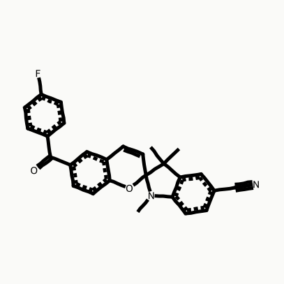 CN1c2ccc(C#N)cc2C(C)(C)C12C=Cc1cc(C(=O)c3ccc(F)cc3)ccc1O2